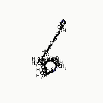 COc1cc2cc(c1Cl)N(C)C(=O)C[C@H](OC(=O)[C@H](C)N(C)C(=O)CCCC(=O)NCCOCCOCCOCCOCCNC(=O)OC1CC/C=C/CCC1)[C@]1(C)O[C@H]1[C@H](C)[C@@H]1C[C@@](O)(NC(=O)O1)[C@H](OC)/C=C/C=C(\C)C2